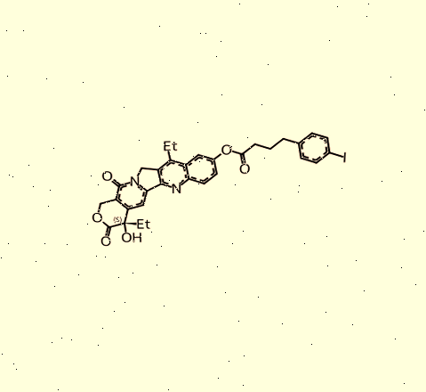 CCc1c2c(nc3ccc(OC(=O)CCCc4ccc(I)cc4)cc13)-c1cc3c(c(=O)n1C2)COC(=O)[C@]3(O)CC